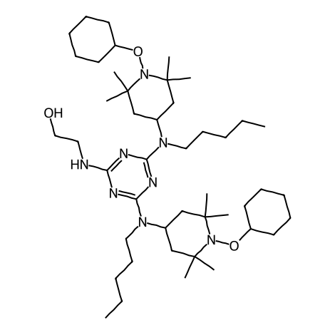 CCCCCN(c1nc(NCCO)nc(N(CCCCC)C2CC(C)(C)N(OC3CCCCC3)C(C)(C)C2)n1)C1CC(C)(C)N(OC2CCCCC2)C(C)(C)C1